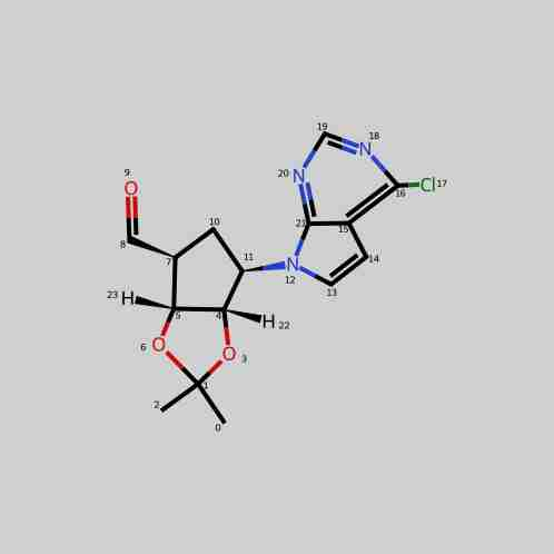 CC1(C)O[C@@H]2[C@H](O1)[C@@H](C=O)C[C@H]2n1ccc2c(Cl)ncnc21